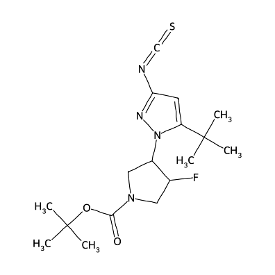 CC(C)(C)OC(=O)N1CC(F)C(n2nc(N=C=S)cc2C(C)(C)C)C1